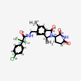 Bc1cc2c(cc1CNC(=O)C(F)(F)c1ccc(Cl)cc1)C(B)N(C1CCC(=O)NC1=O)C2=O